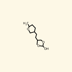 CC1CCC(CCC2COC(O)OC2)CO1